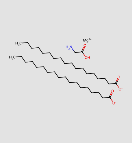 CCCCCCCCCCCCCCCCCC(=O)[O-].CCCCCCCCCCCCCCCCCC(=O)[O-].NCC(=O)O.[Mg+2]